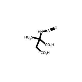 [O]=[Al][NH]C(CC(=O)O)(C(=O)O)S(=O)(=O)O